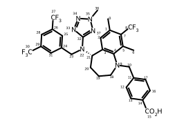 Cc1cc2c(c(C)c1C(F)(F)F)N(Cc1ccc(C(=O)O)cc1)CCC[C@@H]2N(Cc1cc(C(F)(F)F)cc(C(F)(F)F)c1)c1nnn(C)n1